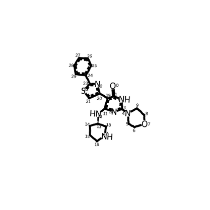 O=c1[nH]c(N2CCOCC2)nc(N[C@@H]2CCCNC2)c1-c1csc(-c2ccccc2)n1